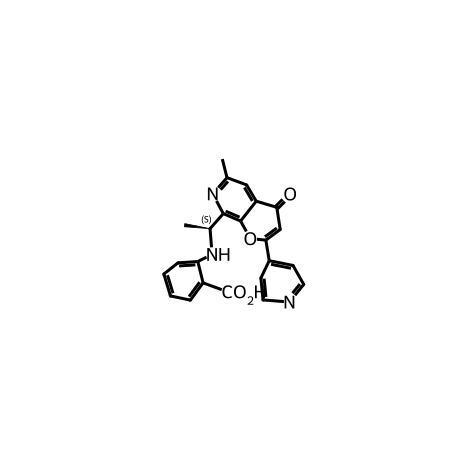 Cc1cc2c(=O)cc(-c3ccncc3)oc2c([C@H](C)Nc2ccccc2C(=O)O)n1